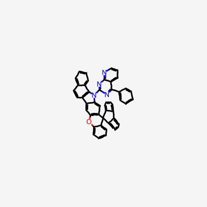 c1ccc(-c2nc(-n3c4cc5c(cc4c4ccc6ccccc6c43)Oc3ccccc3C53c4ccccc4-c4ccccc43)nc3ncccc23)cc1